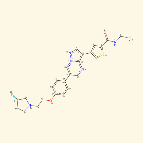 O=C(NCC(F)(F)F)c1cc(-c2cnn3cc(-c4ccc(OCCN5CC[C@@H](F)C5)cc4)cnc23)cs1